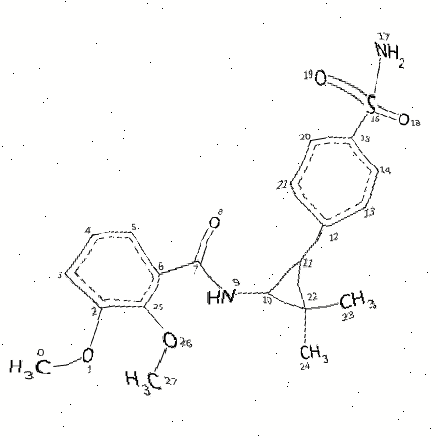 COc1cccc(C(=O)NC2C(c3ccc(S(N)(=O)=O)cc3)C2(C)C)c1OC